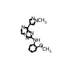 COc1ccccc1Nc1nc2c(-c3cnn(C)c3)nccn2n1